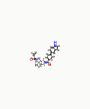 CCN(C[C@@H]1CCN(C(=O)C2CC2)C1)C(=O)c1ccc(-c2ccc3[nH]ccc3c2)cc1